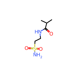 CC(C)C(=O)NCCS(N)(=O)=O